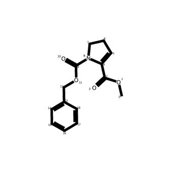 COC(=O)C1=CCCN1C(=O)OCc1ccccc1